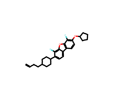 C=CCCC1CCC(c2ccc3c(oc4c(F)c(OC5CCCC5)ccc43)c2F)CC1